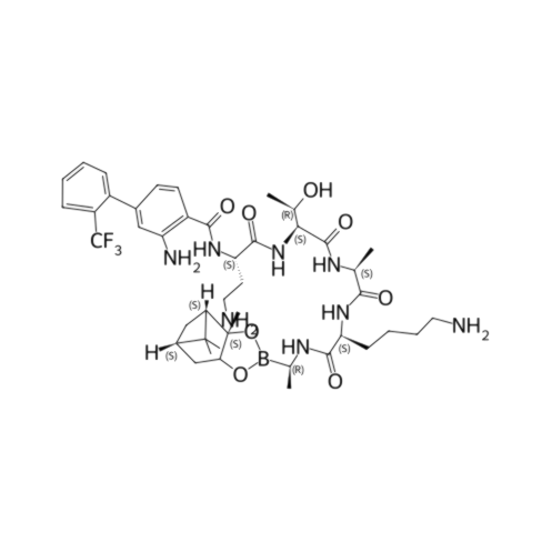 C[C@H](NC(=O)[C@H](CCCCN)NC(=O)[C@H](C)NC(=O)[C@@H](NC(=O)[C@H](CCN)NC(=O)c1ccc(-c2ccccc2C(F)(F)F)cc1N)[C@@H](C)O)B1OC2C[C@@H]3C[C@@H](C3(C)C)[C@]2(C)O1